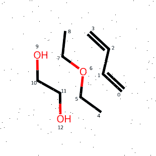 C=CC=C.CCOCC.OCCO